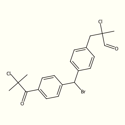 CC(Cl)(C=O)Cc1ccc(C(Br)c2ccc(C(=O)C(C)(C)Cl)cc2)cc1